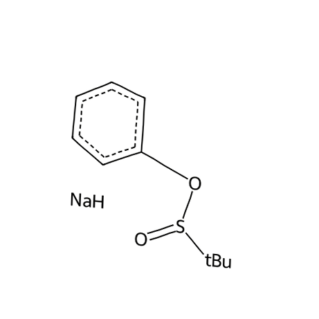 CC(C)(C)S(=O)Oc1ccccc1.[NaH]